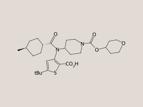 CC(C)(C)c1cc(N(C(=O)[C@H]2CC[C@H](C)CC2)C2CCN(C(=O)OC3CCOCC3)CC2)c(C(=O)O)s1